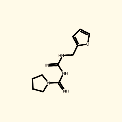 N=C(NCc1ccco1)NC(=N)N1CCCC1